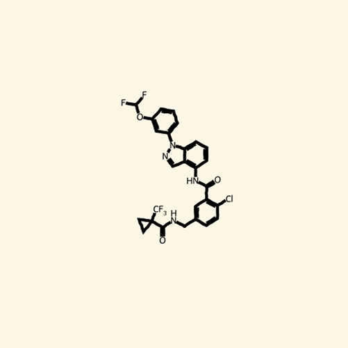 O=C(Nc1cccc2c1cnn2-c1cccc(OC(F)F)c1)c1cc(CNC(=O)C2(C(F)(F)F)CC2)ccc1Cl